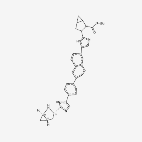 CC(C)(C)OC(=O)N1C(c2ncc(-c3ccc4cc(-c5ccc(-c6cnc([C@@H]7C[C@@H]8C[C@H]8N7)[nH]6)cc5)ccc4c3)[nH]2)CC2CC21